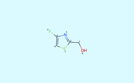 OCc1nc(F)cs1